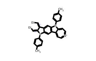 CC/C=c1\c(=C/CC)n(-c2ccc(C)cc2)c2cc3c4c(n(-c5ccc(C)cc5)c3cc12)=CC=[N+]=CC=4